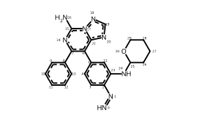 N=Nc1ccc(-c2c(-c3ccccc3)nc(N)n3ncnc23)cc1NC1CCCCO1